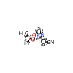 CC(C)C1CC[C@@H](C)C[C@H]1OC(=O)Cn1c(-c2cccc(C#N)c2)nc2ccccc21